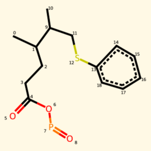 CC(CCC(=O)OP=O)C(C)CSc1ccccc1